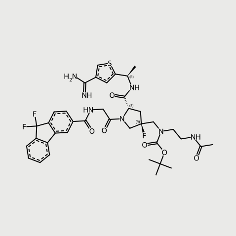 CC(=O)NCCN(C[C@@]1(F)C[C@@H](C(=O)N[C@H](C)c2cc(C(=N)N)cs2)N(C(=O)CNC(=O)c2ccc3c(c2)-c2ccccc2C3(F)F)C1)C(=O)OC(C)(C)C